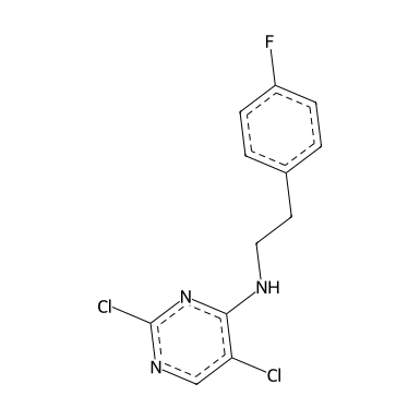 Fc1ccc(CCNc2nc(Cl)ncc2Cl)cc1